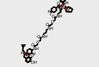 CC(C)c1nnc(CCNC(=O)COCC(=O)NCCCNC(=O)COCC(=O)NC2CC[C@@]3(O)[C@H]4Cc5ccc(O)c6c5[C@@]3(CCN4CC3CC3)[C@H]2O6)n1C1CC2CCC(C1)N2CC[C@H](NC(=O)C1CCC(F)(F)CC1)c1ccccc1